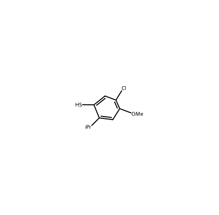 COc1cc(C(C)C)c(S)cc1Cl